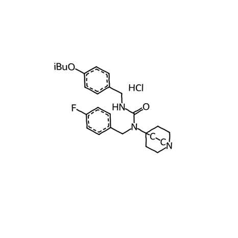 CC(C)COc1ccc(CNC(=O)N(Cc2ccc(F)cc2)C23CCN(CC2)CC3)cc1.Cl